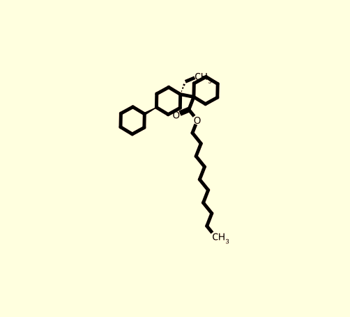 CCCCCCCCCCOC(=O)C1([C@]2(CC)CC[C@H](C3CCCCC3)CC2)CCCCC1